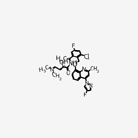 Cc1cc(-n2cc(F)cn2)c2cccc(OCc3c(Cl)cc(F)cc3[C@H](C)NC(=O)[C@@H](O)CCN(C)C)c2n1